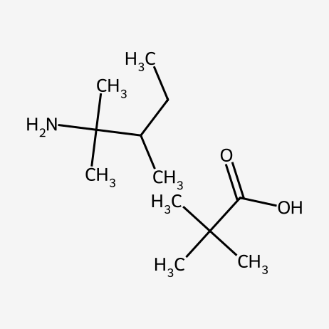 CC(C)(C)C(=O)O.CCC(C)C(C)(C)N